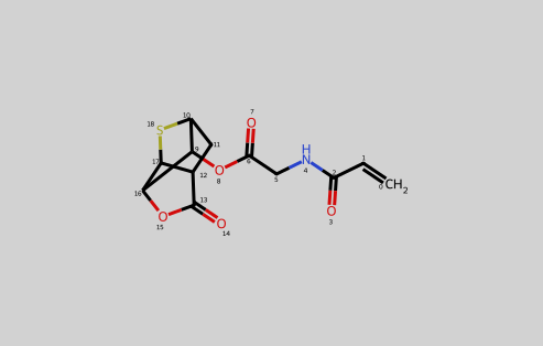 C=CC(=O)NCC(=O)OC1C2CC3C(=O)OC1C3S2